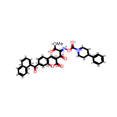 COC(=O)/C(=N/OC(=O)N1CCC(c2ccccc2)CC1)C(=O)c1cc2ccc(C(=O)c3cccc4ccccc34)cc2oc1=O